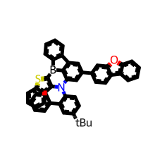 CC(C)(C)c1ccc(N2c3cc(-c4ccc5c(c4)oc4ccccc45)cc4c3B(c3ccccc3-4)c3sc4ccccc4c32)c(-c2ccccc2)c1